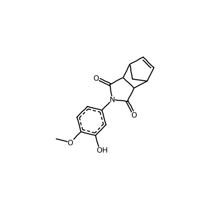 COc1ccc(N2C(=O)C3C4C=CC(C4)C3C2=O)cc1O